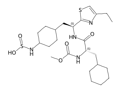 CCc1csc([C@H](CC2CCC(NS(=O)O)CC2)NC(=O)[C@H](CC2CCCCC2)NC(=O)OC)n1